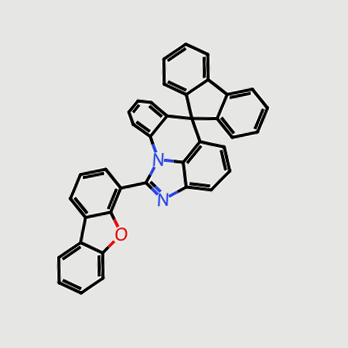 c1ccc2c(c1)-c1ccccc1C21c2ccccc2-n2c(-c3cccc4c3oc3ccccc34)nc3cccc1c32